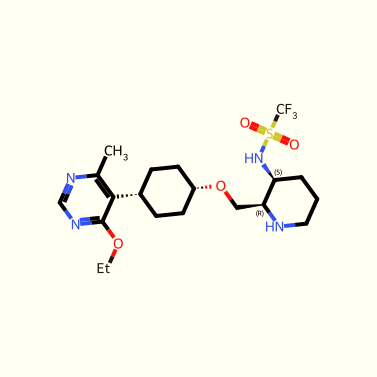 CCOc1ncnc(C)c1[C@H]1CC[C@@H](OC[C@@H]2NCCC[C@@H]2NS(=O)(=O)C(F)(F)F)CC1